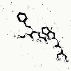 CCOC(=O)[C@H](CCc1ccccc1)N[C@@H](C)C(=O)[C@]12CCC[C@H]1C[C@H](OC(=O)OC(CO)CO)N2